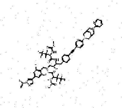 COC(=O)NC(C(=O)NC(Cc1ccc(C#Cc2ccc(N3CC4CC(CN(c5ccccn5)C4)C3)nc2)cc1)C(O)CN(Cc1c(F)cc(-c2cnn(C(F)F)c2)cc1F)NC(=O)C(NC(=O)O)C(C)(C)C(F)(F)F)C(C)(C)C(F)(F)F